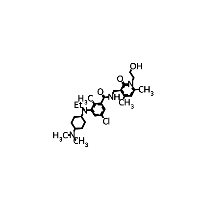 CCN(c1cc(Cl)cc(C(=O)NCc2c(C)cc(C)n(CCO)c2=O)c1C)C1CCC(N(C)C)CC1